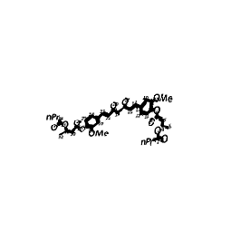 CCCC(=O)O[C@H](C)CC(=O)Oc1ccc(/C=C/C(=O)CC(=O)/C=C/c2ccc(OC(=O)C[C@@H](C)OC(=O)CCC)c(OC)c2)cc1OC